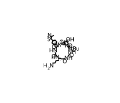 Cc1ncsc1-c1ccc([C@@H]2NC(=O)[C@@H]3C[C@@H](O)CN3C(=O)[C@H](C(C)(C)C)NC(=O)CNC(=O)C[C@@H](CCCCN)NC(=O)CNC2=O)cc1